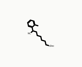 CCCCCCCCCCCCCCCCC(C#N)c1ccccc1C